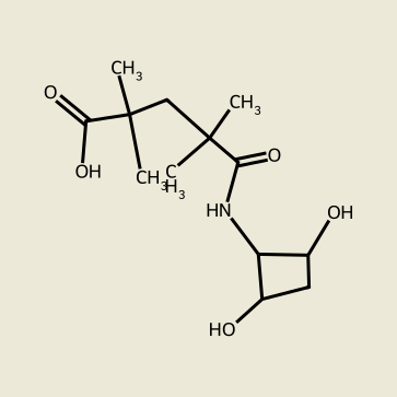 CC(C)(CC(C)(C)C(=O)NC1C(O)CC1O)C(=O)O